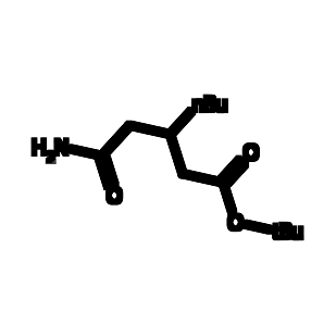 C[CH]CCC(CC(N)=O)CC(=O)OC(C)(C)C